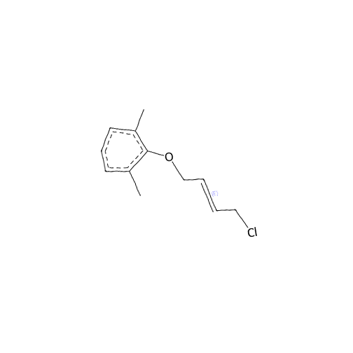 Cc1cccc(C)c1OC/C=C/CCl